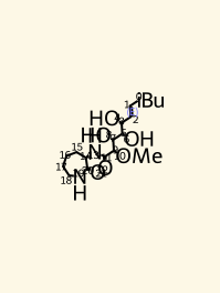 CCC(C)/C=C/C(O)C(O)C(O)C(OC)C(=O)NC1CCCCNC1=O